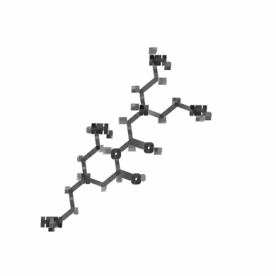 NCCN(CCN)CC(=O)OC(=O)CN(CCN)CCN